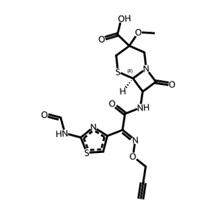 C#CCON=C(C(=O)NC1C(=O)N2CC(OC)(C(=O)O)CS[C@H]12)c1csc(NC=O)n1